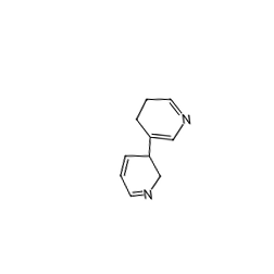 C1=CC(C2=CN=CCC2)CN=C1